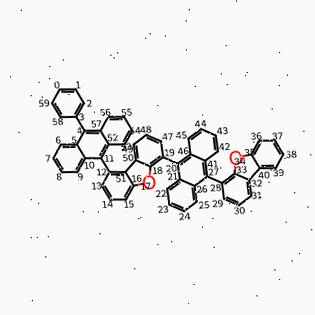 c1ccc(-c2c3ccccc3c(-c3cccc4oc5c(-c6c7ccccc7c(-c7cccc8c7oc7ccccc78)c7ccccc67)cccc5c34)c3ccccc23)cc1